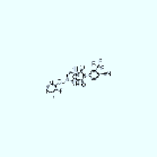 Cc1ncnc(OC[C@@H]2C[C@@]3(C)O[C@]2(C)[C@@H]2C(=O)N(c4ccc(C#N)c(C(F)(F)F)c4)C(=O)[C@@H]23)c1F